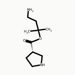 CC(C)(CCN)OC(=O)[C@H]1CCNC1